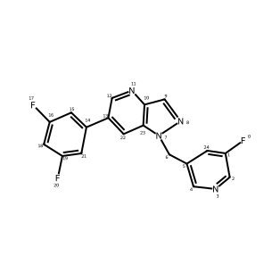 Fc1cncc(Cn2ncc3ncc(-c4cc(F)cc(F)c4)cc32)c1